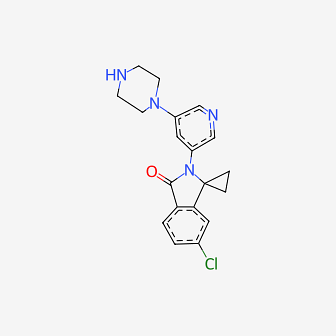 O=C1c2ccc(Cl)cc2C2(CC2)N1c1cncc(N2CCNCC2)c1